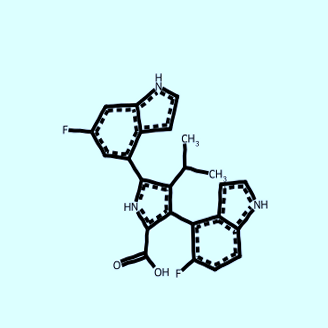 CC(C)c1c(-c2cc(F)cc3[nH]ccc23)[nH]c(C(=O)O)c1-c1c(F)ccc2[nH]ccc12